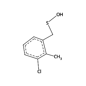 Cc1c(Cl)cccc1CSO